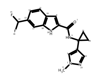 Cn1cc(C2(NC(=O)c3cc4ccc(C(F)F)cc4[nH]3)CC2)cn1